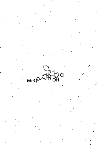 COOCc1ccn2c(NC3CCCCC3)c(-c3ccc(O)cc3O)nc2c1